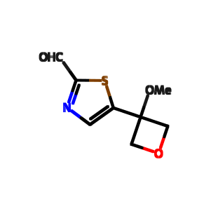 COC1(c2cnc(C=O)s2)COC1